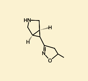 CC1CC(C2[C@H]3CNC[C@@H]23)=NO1